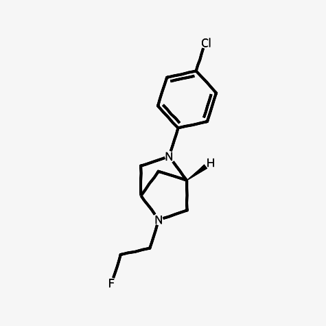 FCCN1C[C@@H]2CC1CN2c1ccc(Cl)cc1